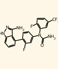 NC(=O)N(c1ccc(-c2cccc3[nH]nc(N)c23)c(F)c1)c1cc(C(F)(F)F)ccc1F